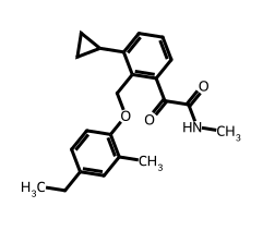 CCc1ccc(OCc2c(C(=O)C(=O)NC)cccc2C2CC2)c(C)c1